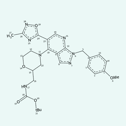 COc1ccc(Cn2ncc3c(N4CCOC(CNC(=O)OC(C)(C)C)C4)c(-c4nc(C)no4)cnc32)cc1